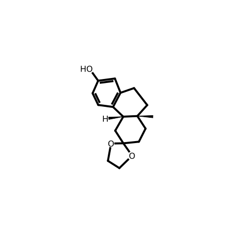 C[C@]12CCc3cc(O)ccc3[C@H]1CC1(CC2)OCCO1